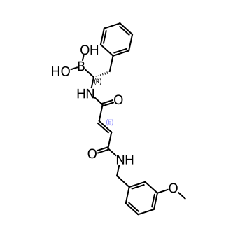 COc1cccc(CNC(=O)/C=C/C(=O)N[C@@H](Cc2ccccc2)B(O)O)c1